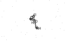 O=C(NCCCCN1CCNCC1)N1CCC(=C2c3ccc(Cl)cc3CCc3cccnc32)CC1